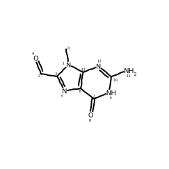 Cn1c(C=O)nc2c(=O)[nH]c(N)nc21